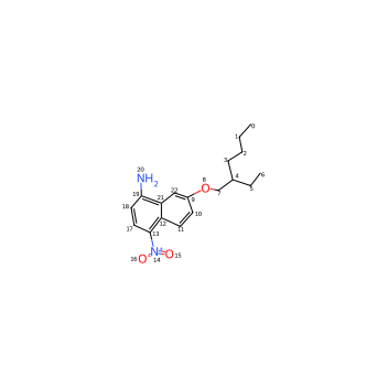 CCCCC(CC)COc1ccc2c([N+](=O)[O-])ccc(N)c2c1